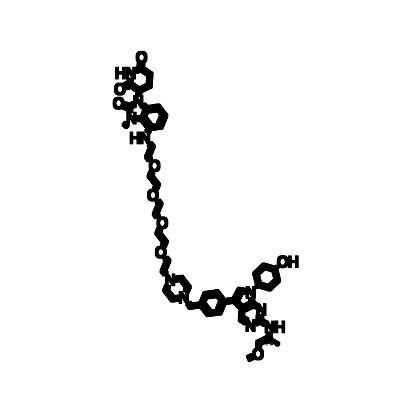 COC[C@H](C)Nc1ncc2c(-c3ccc(CN4CCN(CCOCCOCCOCCOCCNc5cccc6c5n(C)c(=O)n6C5CCC(=O)NC5=O)CC4)cc3)cn([C@H]3CC[C@H](O)CC3)c2n1